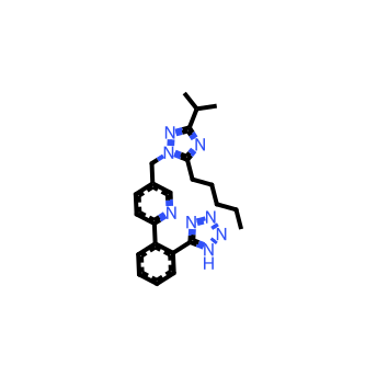 CCCCCc1nc(C(C)C)nn1Cc1ccc(-c2ccccc2-c2nnn[nH]2)nc1